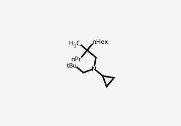 CCCCCCC(C)(CCC)CN(CC(C)(C)C)C1CC1